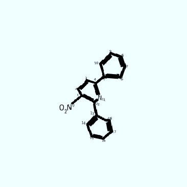 O=[N+]([O-])c1ccc(-c2ccccc2)nc1-c1ccccc1